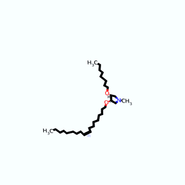 CCCCCCCC/C=C\CCCCCCCCO[C@@H]1CN(C)C[C@H]1OCCCCCCCC